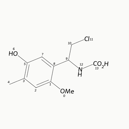 COc1cc(C)c(O)cc1C(CCl)NC(=O)O